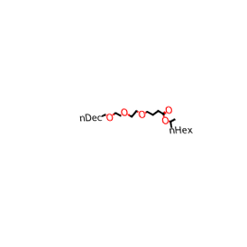 CCCCCCCCCCCOCCOCCOCCCC(=O)OC(C)CCCCCC